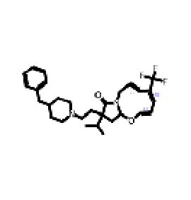 CC(C)C1(CCN2CCC(Cc3ccccc3)CC2)CC2O/C=C/C=C(C(F)(F)F)\C=C\CN2C1=O